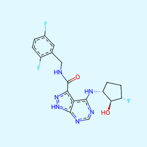 O=C(NCc1cc(F)ccc1F)c1n[nH]c2ncnc(N[C@@H]3CC[C@H](F)[C@H]3O)c12